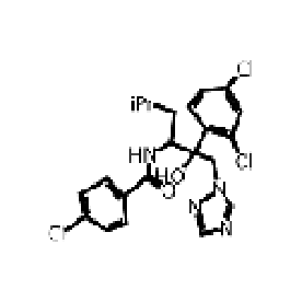 CC(C)CC(NC(=O)c1ccc(Cl)cc1)C(O)(Cn1cncn1)c1ccc(Cl)cc1Cl